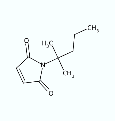 CCCC(C)(C)N1C(=O)C=CC1=O